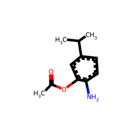 CC(=O)Oc1cc(C(C)C)ccc1N